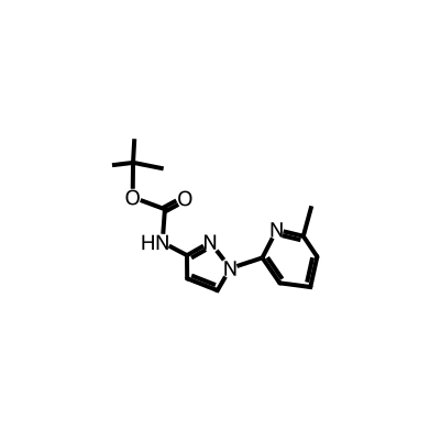 Cc1cccc(-n2ccc(NC(=O)OC(C)(C)C)n2)n1